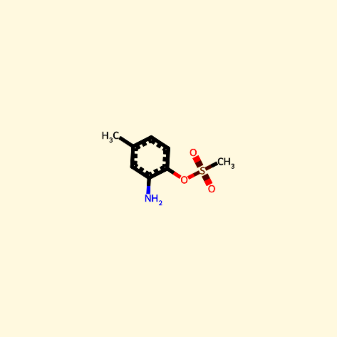 Cc1ccc(OS(C)(=O)=O)c(N)c1